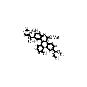 CCOC(OCC)c1ccc(-c2c(OC)nc3ccc(C(O)c4cncn4C)cc3c2-c2cccc(Cl)c2)cc1